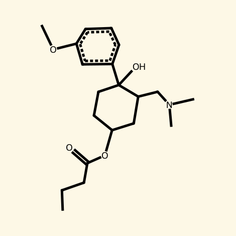 CCCC(=O)OC1CCC(O)(c2cccc(OC)c2)C(CN(C)C)C1